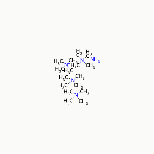 C[N+](C)(C)C.C[N+](C)(C)C.C[N+](C)(C)C.C[N+](C)(C)C.N